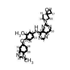 Cc1cc(Nc2ncnc3cnc(N4CC[C@]5(CCO5)C4)nc23)ccc1Oc1ccc2c(c1)ncn2C